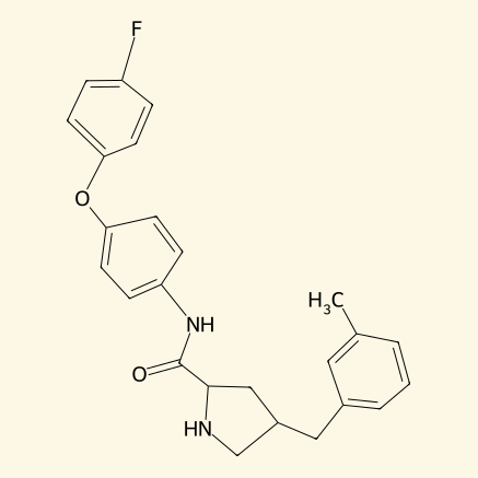 Cc1cccc(CC2CNC(C(=O)Nc3ccc(Oc4ccc(F)cc4)cc3)C2)c1